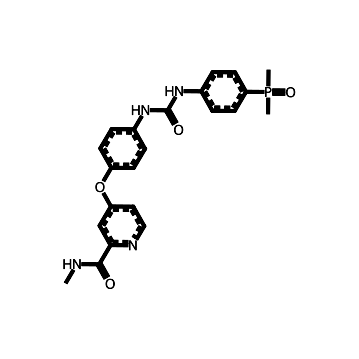 CNC(=O)c1cc(Oc2ccc(NC(=O)Nc3ccc(P(C)(C)=O)cc3)cc2)ccn1